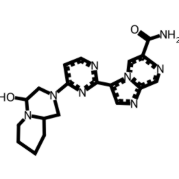 NC(=O)c1cn2c(-c3nccc(N4CC(O)N5CCCCC5C4)n3)cnc2cn1